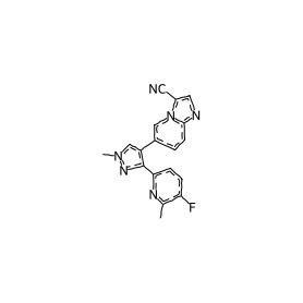 Cc1nc(-c2nn(C)cc2-c2ccc3ncc(C#N)n3c2)ccc1F